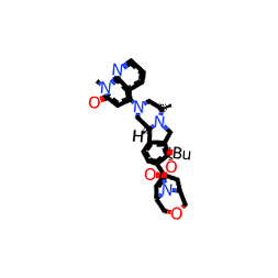 C[C@@H]1CN(c2cc(=O)n(C)c3ncccc23)C[C@@H]2c3ccc(C4=CC5COCC(C4)N5C(=O)OC(C)(C)C)cc3CN12